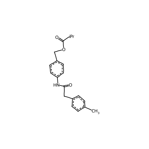 Cc1ccc(CC(=O)Nc2ccc(COC(=O)C(C)C)cc2)cc1